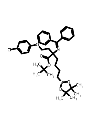 CC(C)(C)OC(=O)C(CCCCB1OC(C)(C)C(C)(C)O1)(CCOc1ccc(Cl)cc1)N=C(c1ccccc1)c1ccccc1